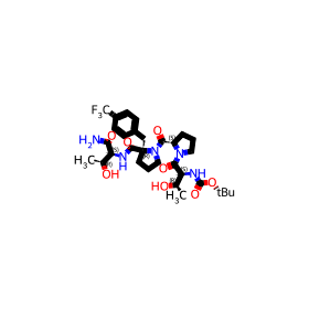 C[C@@H](O)[C@H](NC(=O)[C@]1(Cc2ccc(C(F)(F)F)cc2)CCCN1C(=O)[C@@H]1CCCN1C(=O)[C@@H](NC(=O)OC(C)(C)C)[C@@H](C)O)C(N)=O